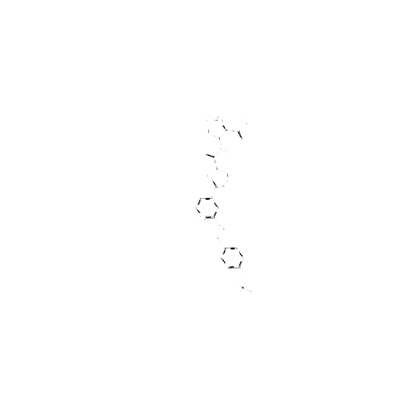 CN1CC(NC(=O)C2COC(c3ccnc(NCc4ccc(OC(F)(F)F)cc4)c3)=N2)C(C(N)=O)=N1